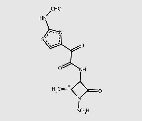 C[C@@H]1C(NC(=O)C(=O)c2csc(NC=O)n2)C(=O)N1S(=O)(=O)O